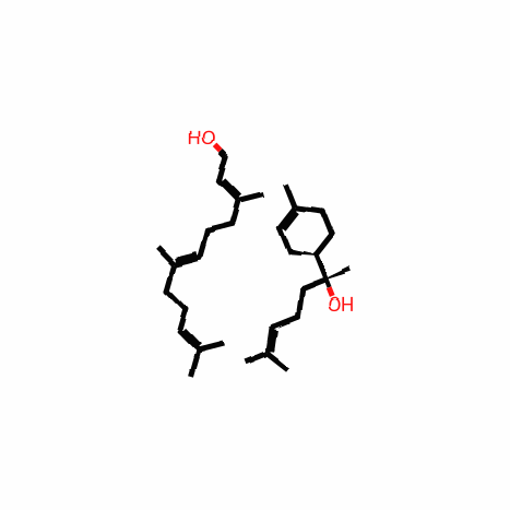 CC(C)=CCCC(C)=CCCC(C)=CCO.CC(C)=CCC[C@@](C)(O)[C@H]1CC=C(C)CC1